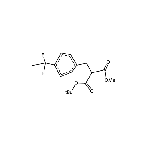 COC(=O)C(Cc1ccc(C(C)(F)F)cc1)C(=O)OC(C)(C)C